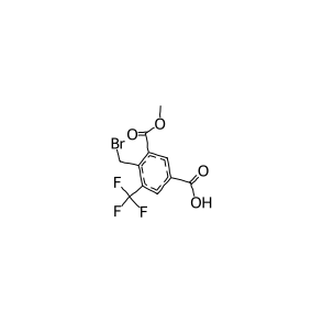 COC(=O)c1cc(C(=O)O)cc(C(F)(F)F)c1CBr